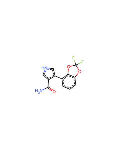 NC(=O)c1c[nH]cc1-c1cccc2c1OC(F)(F)O2